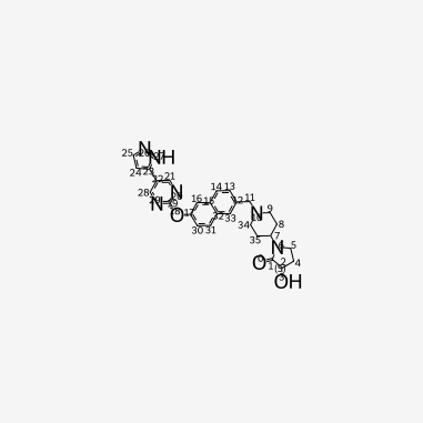 O=C1[C@@H](O)CCN1C1CCN(Cc2ccc3cc(Oc4ncc(-c5ccn[nH]5)cn4)ccc3c2)CC1